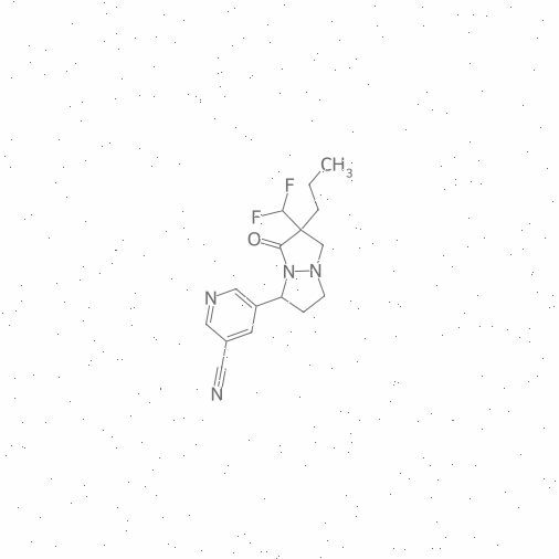 CCCC1(C(F)F)CN2CCC(c3cncc(C#N)c3)N2C1=O